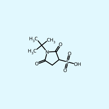 CC(C)(C)N1C(=O)CC(S(=O)(=O)O)C1=O